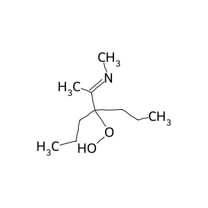 CCCC(CCC)(OO)C(C)=NC